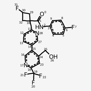 O=C(Nc1ccc(F)cc1)C1(c2ccc(-c3cnc(C(F)(F)F)cc3CO)cn2)CC(F)C1